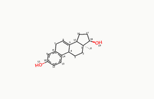 C[C@]12CCC3C(=CCc4cc(O)ccc43)C1CC[C@H]2O